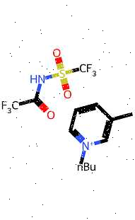 CCCC[n+]1cccc(C)c1.O=C(NS(=O)(=O)C(F)(F)F)C(F)(F)F